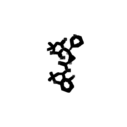 CC1(C)CC(=O)N([C@H](c2cccnc2)C2C[C@H]2C(=O)NC2CC(C)(C)Oc3cccc(F)c32)C(=N)N1